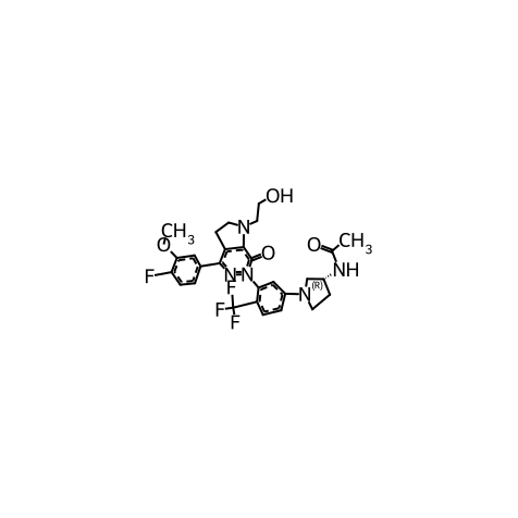 COc1cc(-c2nn(-c3cc(N4CC[C@@H](NC(C)=O)C4)ccc3C(F)(F)F)c(=O)c3c2CCN3CCO)ccc1F